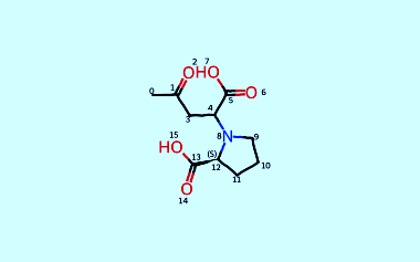 CC(=O)CC(C(=O)O)N1CCC[C@H]1C(=O)O